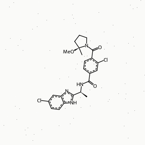 CO[C@@]1(C)CCCN1C(=O)c1ccc(C(=O)N[C@@H](C)c2nc3cc(Cl)ccc3[nH]2)cc1Cl